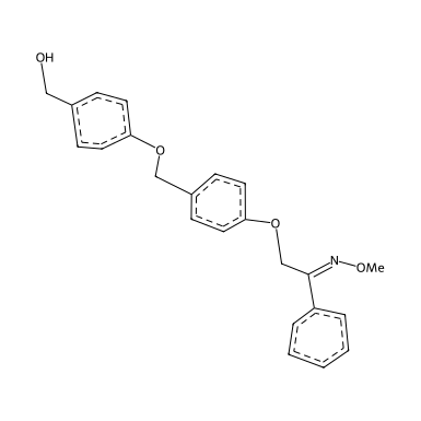 CON=C(COc1ccc(COc2ccc(CO)cc2)cc1)c1ccccc1